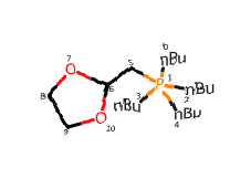 CCCCP(CCCC)(CCCC)(CCCC)CC1OCCO1